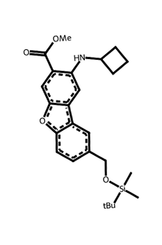 COC(=O)c1cc2oc3ccc(CO[Si](C)(C)C(C)(C)C)cc3c2cc1NC1CCC1